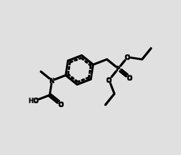 CCOP(=O)(Cc1ccc(N(C)C(=O)O)cc1)OCC